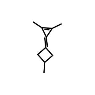 CC1=C(C)C1=C1CC(C)C1